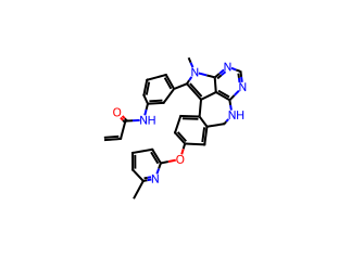 C=CC(=O)Nc1cccc(-c2c3c4c(ncnc4n2C)NCc2cc(Oc4cccc(C)n4)ccc2-3)c1